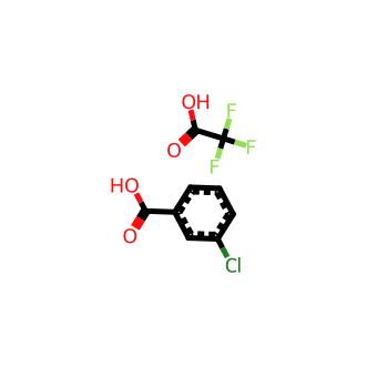 O=C(O)C(F)(F)F.O=C(O)c1cccc(Cl)c1